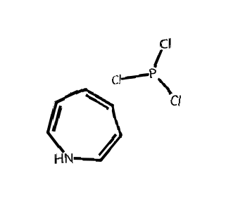 C1=CC=CNC=C1.ClP(Cl)Cl